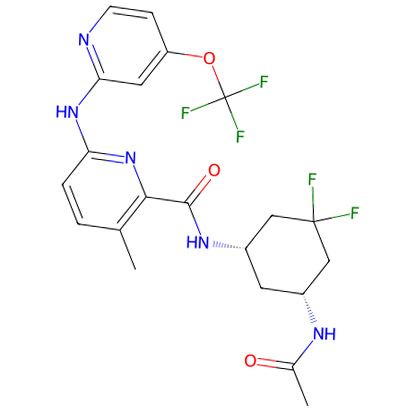 CC(=O)N[C@@H]1C[C@H](NC(=O)c2nc(Nc3cc(OC(F)(F)F)ccn3)ccc2C)CC(F)(F)C1